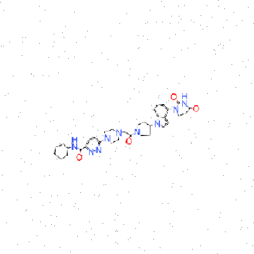 O=C1CCN(c2cccc3c2ccn3C2CCN(C(=O)CN3CCN(c4ccc(C(=O)NC5CCCCC5)nn4)CC3)CC2)C(=O)N1